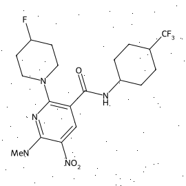 CNc1nc(N2CCC(F)CC2)c(C(=O)NC2CCC(C(F)(F)F)CC2)cc1[N+](=O)[O-]